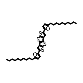 CCCCCCCCCCc1ccc(-c2cc3c(s2)sc2c4cc(-c5ccc(CCCCCCCCCC)o5)sc4sc32)o1